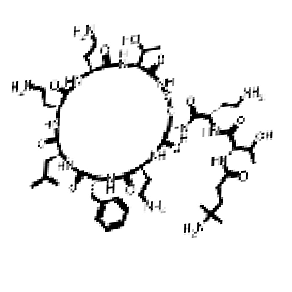 CC(C)C[C@@H]1NC(=O)[C@@H](Cc2ccccc2)NC(=O)[C@H](CCN)NC(=O)[C@@H](NC(=O)[C@H](CCN)NC(=O)[C@@H](NC(=O)CCC(C)(C)N)C(C)O)CCNC(=O)C(C(C)O)NC(=O)[C@H](CCN)NC(=O)[C@H](CCN)NC1=O